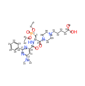 CCOP(=O)(C[C@H](NC(=O)c1cc(N(C)C)nc(-c2ccccc2)n1)C(=O)N1CCN(CCCCC(=O)O)CC1)OCC